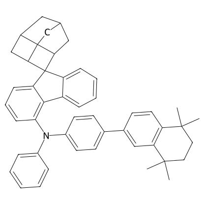 CC1(C)CCC(C)(C)c2cc(-c3ccc(N(c4ccccc4)c4cccc5c4-c4ccccc4C54C5CC6CC7CC4C75C6)cc3)ccc21